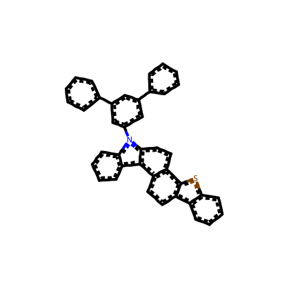 c1ccc(-c2cc(-c3ccccc3)cc(-n3c4ccccc4c4c5ccc6c7ccccc7sc6c5ccc43)c2)cc1